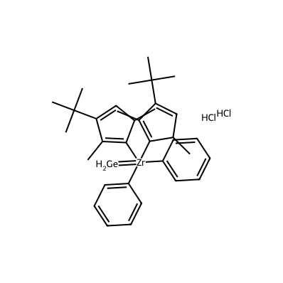 CC1=[C]([Zr](=[GeH2])([C]2=C(C)C(C(C)(C)C)=CC2C)([c]2ccccc2)[c]2ccccc2)C(C)C=C1C(C)(C)C.Cl.Cl